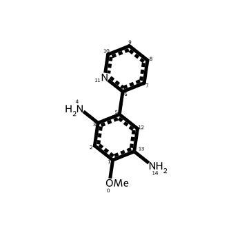 COc1cc(N)c(-c2ccccn2)cc1N